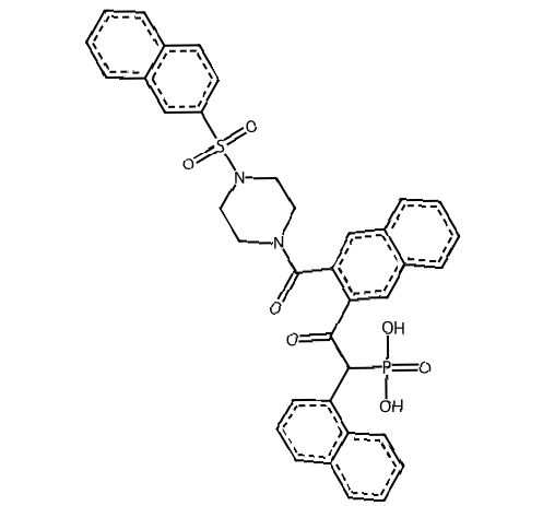 O=C(c1cc2ccccc2cc1C(=O)N1CCN(S(=O)(=O)c2ccc3ccccc3c2)CC1)C(c1cccc2ccccc12)P(=O)(O)O